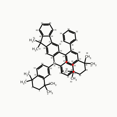 CC1(C)CCC(C)(C)c2cc(N(c3ccccc3)c3cc4c(cc3-c3cc5c(cc3-c3ccccc3)C(C)(C)CCC5(C)C)-c3ccccc3C4(C)C)ccc21